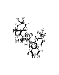 Cc1cc(-c2ccc(C(F)(F)F)nc2NC(=O)NS(=N)(=O)c2cnn3c2OCC(C)(C)C3)ccn1